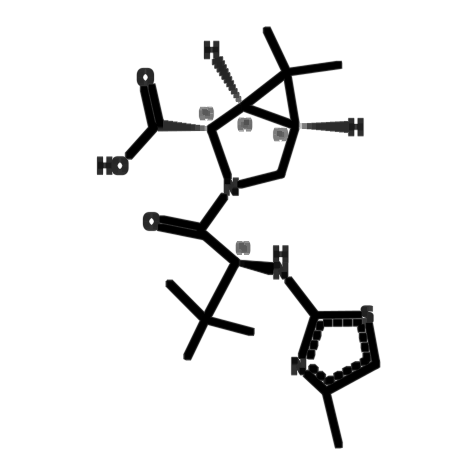 Cc1csc(N[C@H](C(=O)N2C[C@H]3[C@@H]([C@H]2C(=O)O)C3(C)C)C(C)(C)C)n1